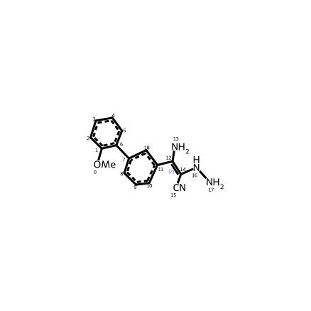 COc1ccccc1-c1cccc(/C(N)=C(\C#N)NN)c1